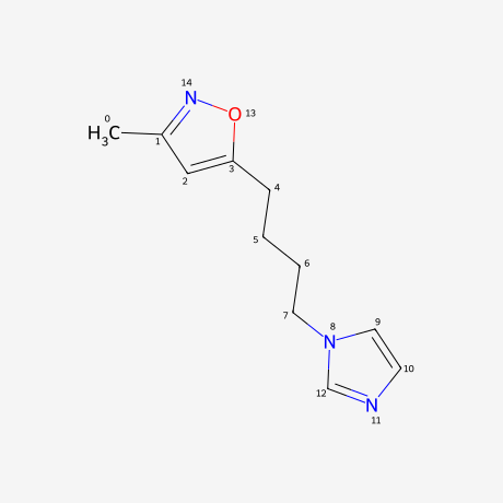 Cc1cc(CCCCn2ccnc2)on1